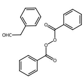 O=C(OOC(=O)c1ccccc1)c1ccccc1.O=CCc1ccccc1